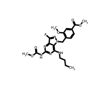 CCCCNc1nc(NC(=O)OC)nc2c(F)nn(Cc3ccc(C(=O)OC)cc3OC)c12